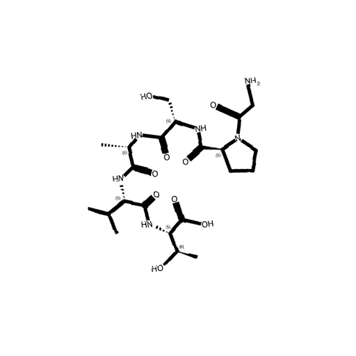 CC(C)[C@H](NC(=O)[C@H](C)NC(=O)[C@H](CO)NC(=O)[C@@H]1CCCN1C(=O)CN)C(=O)N[C@H](C(=O)O)[C@@H](C)O